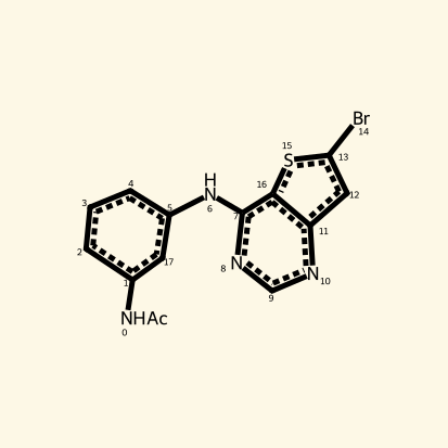 CC(=O)Nc1cccc(Nc2ncnc3cc(Br)sc23)c1